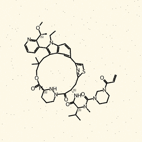 C=CC(=O)N1CCCN(C(=O)N(C)[C@H](C(=O)N[C@H]2Cc3nc(cs3)-c3ccc4c(c3)c(c(-c3cccnc3[C@H](C)OC)n4CC)CC(C)(C)COC(=O)[C@@H]3CCCN(N3)C2=O)C(C)C)C1